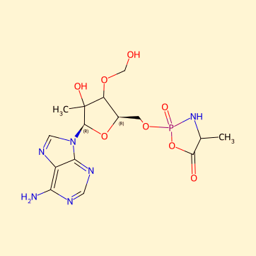 CC1NP(=O)(OC[C@H]2O[C@@H](n3cnc4c(N)ncnc43)C(C)(O)C2OCO)OC1=O